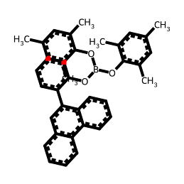 Cc1cc(C)c(OB(Oc2ccccc2-c2cc3ccccc3c3ccccc23)Oc2c(C)cc(C)cc2C)c(C)c1